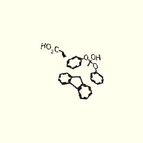 C=CC(=O)O.CC(O)(Oc1ccccc1)Oc1ccccc1.c1ccc2c(c1)Cc1ccccc1-2